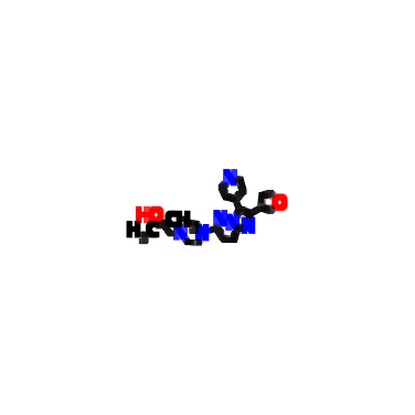 CC(C)(O)CN1CCN(c2ccc3nc(-c4ccoc4)c(-c4ccncc4)n3n2)CC1